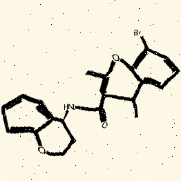 CC1=C(C(=O)N[C@H]2CCOc3ccccc32)C(C)c2cccc(Br)c2O1